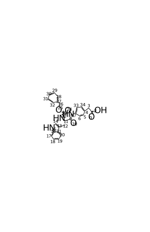 O=C(O)Cc1ccc(NC(=O)[C@H](Cc2c[nH]c3ccccc23)NC(=O)OCc2ccccc2)cc1